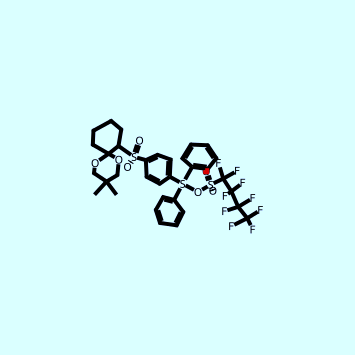 CC1(C)COC2(CCCCC2S(=O)(=O)c2ccc(S(OS(=O)(=O)C(F)(F)C(F)(F)C(F)(F)C(F)(F)F)(c3ccccc3)c3ccccc3)cc2)OC1